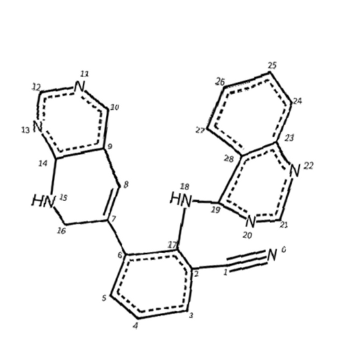 N#Cc1cccc(C2=Cc3cncnc3NC2)c1Nc1ncnc2ccccc12